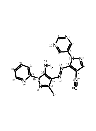 [C-]#[N+]c1cnn(-c2cncnc2)c1/N=N/c1c(C)nn(-c2ccccn2)c1N